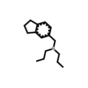 CCCN(CCC)Cc1ccc2c(c1)CCC2